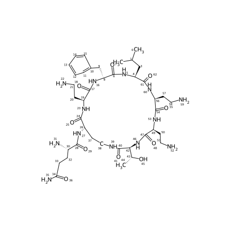 CC(C)C[C@@H]1NC(=O)[C@@H](Cc2ccccc2)NC(=O)[C@H](CCN)NC(=O)[C@@H](NC(=O)[C@@H](N)CCC(N)=O)CCNC(=O)[C@H]([C@@H](C)O)NC(=O)[C@H](CCN)NC(=O)[C@H](CCN)NC1=O